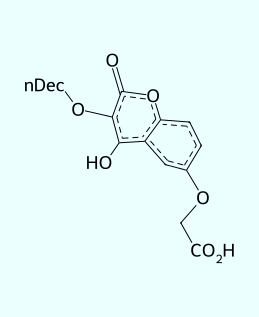 CCCCCCCCCCOc1c(O)c2cc(OCC(=O)O)ccc2oc1=O